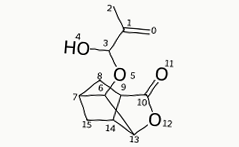 C=C(C)C(O)OC1C2CC3C(=O)OC1C3C2